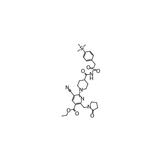 CCOC(=O)c1cc(C#N)c(N2CCC(C(=O)NS(=O)(=O)Cc3ccc([Si](C)(C)C)cc3)CC2)nc1CN1CCCC1=O